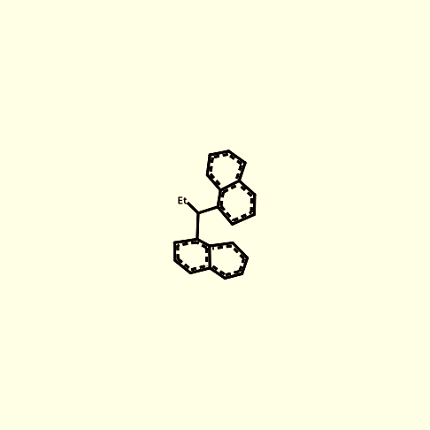 CCC(c1cccc2ccccc12)c1cccc2ccccc12